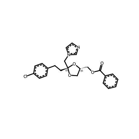 O=C(OC[C@@H]1CO[C@](CCc2ccc(Cl)cc2)(Cn2ccnc2)O1)c1ccccc1